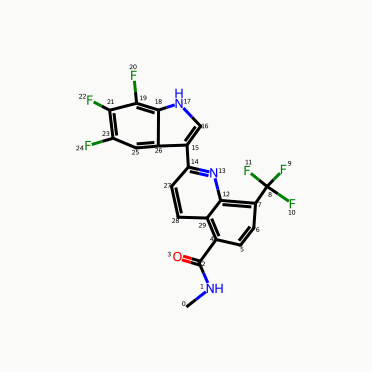 CNC(=O)c1ccc(C(F)(F)F)c2nc(-c3c[nH]c4c(F)c(F)c(F)cc34)ccc12